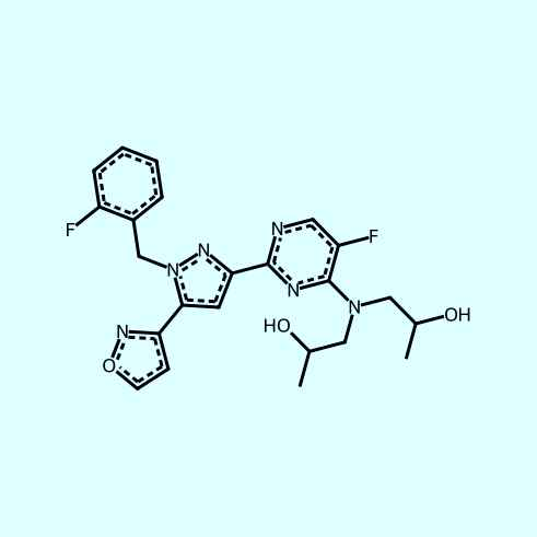 CC(O)CN(CC(C)O)c1nc(-c2cc(-c3ccon3)n(Cc3ccccc3F)n2)ncc1F